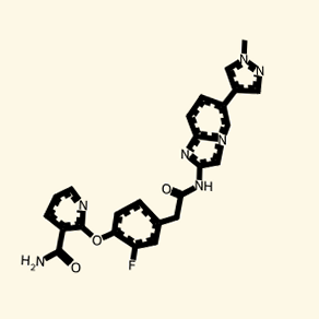 Cn1cc(-c2ccc3nc(NC(=O)Cc4ccc(Oc5ncccc5C(N)=O)c(F)c4)cn3c2)cn1